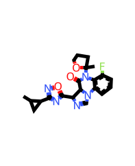 CC1CC1c1noc(C2N=CN3c4cccc(F)c4N(C4(C)CCCO4)C(=O)C23)n1